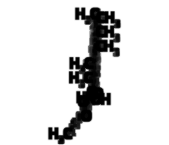 CCCCCCCC(=O)CCC(=O)CNP(=O)(O)OCCC/C(C)=C/CC/C(C)=C/CC/C=C(\C)CC/C=C(\C)CCC=C(C)C